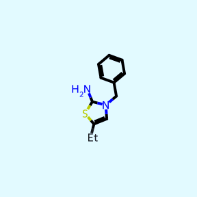 CCC1=CN(Cc2ccccc2)C(N)S1